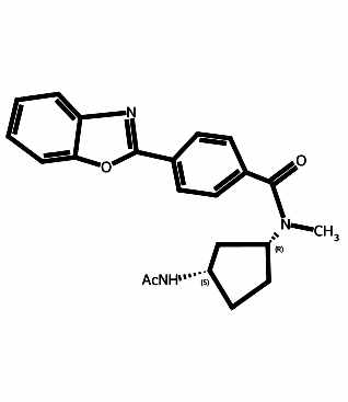 CC(=O)N[C@H]1CC[C@@H](N(C)C(=O)c2ccc(-c3nc4ccccc4o3)cc2)C1